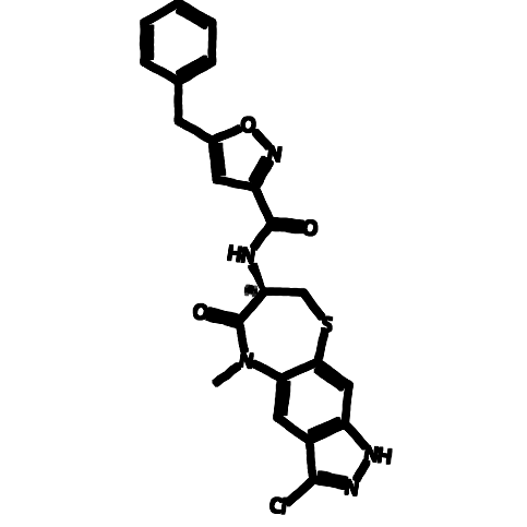 CN1C(=O)[C@@H](NC(=O)c2cc(Cc3ccccc3)on2)CSc2cc3[nH]nc(Cl)c3cc21